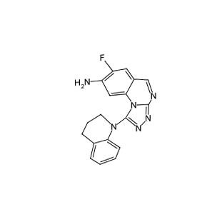 Nc1cc2c(cnc3nnc(N4CCCc5ccccc54)n32)cc1F